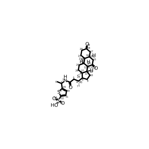 CC(NC(=O)C[C@@H](C)C1CC[C@H]2[C@@H]3C(=O)C[C@@H]4CC(=O)CC[C@]4(C)[C@H]3CC[C@]12C)c1ccc(S(=O)(=O)O)s1